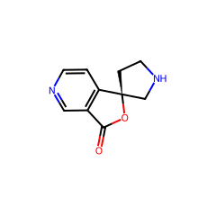 O=C1O[C@]2(CCNC2)c2ccncc21